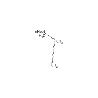 [CH2]C=CCCCCCCCCCC(C)CCCCCC(C)CCCCCC[CH2]